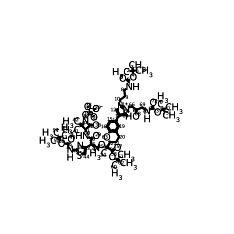 CC(C)(C)OC(=O)NCCC[n+]1cc(-c2ccc3c(c2)CCC(C(C)(O/N=C(\C(=O)NC2C(=O)N(OS(=O)(=O)[O-])C2(C)C)c2csc(NC(=O)OC(C)(C)C)n2)C(=O)OC(C)(C)C)O3)cn1CC(O)CNC(=O)OC(C)(C)C